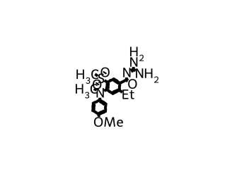 CCc1cc(N(C)c2ccc(OC)cc2)c(S(C)(=O)=O)cc1C(=O)N=C(N)N